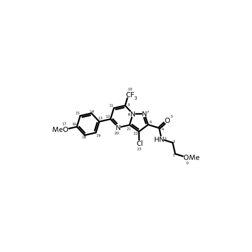 COCCNC(=O)c1nn2c(C(F)(F)F)cc(-c3ccc(OC)cc3)nc2c1Cl